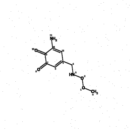 COONCC1=CC(=O)C(=O)C(N)=C1